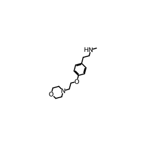 CNCCc1ccc(OCCN2CCOCC2)cc1